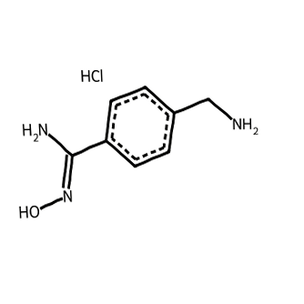 Cl.NCc1ccc(/C(N)=N/O)cc1